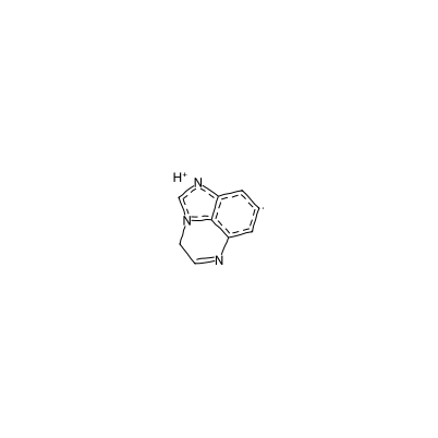 [H+].[c]1cc2c3c(c1)ncn3CC=N2